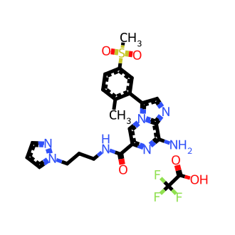 Cc1ccc(S(C)(=O)=O)cc1-c1cnc2c(N)nc(C(=O)NCCCn3cccn3)cn12.O=C(O)C(F)(F)F